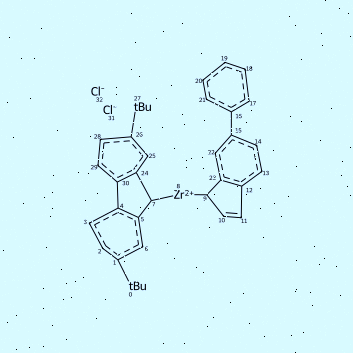 CC(C)(C)c1ccc2c(c1)[CH]([Zr+2][CH]1C=Cc3ccc(-c4ccccc4)cc31)c1cc(C(C)(C)C)ccc1-2.[Cl-].[Cl-]